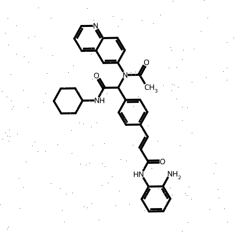 CC(=O)N(c1ccc2ncccc2c1)C(C(=O)NC1CCCCC1)c1ccc(C=CC(=O)Nc2ccccc2N)cc1